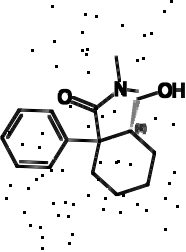 CN(C)C(=O)C1(c2ccccc2)CCCC[C@H]1CO